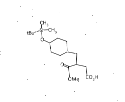 COC(=O)C(CC(=O)O)CC1CCC(O[Si](C)(C)C(C)(C)C)CC1